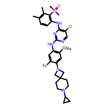 CCc1cc(Nc2ncc(Cl)c(Nc3ccc(C)c(C)c3P(C)(C)=O)n2)c(OC)cc1N1CC2(CCN(C3CC3)CC2)C1